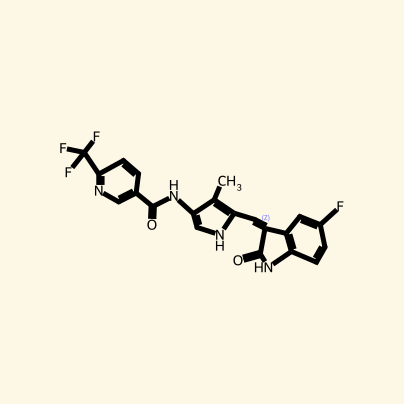 Cc1c(NC(=O)c2ccc(C(F)(F)F)nc2)c[nH]c1/C=C1\C(=O)Nc2ccc(F)cc21